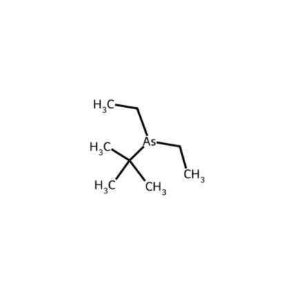 CC[As](CC)C(C)(C)C